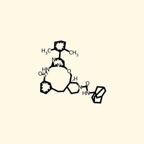 Cc1cccc(C)c1-c1cc2nc(n1)N[S+]([O-])c1cccc(c1)CCC1CCN(C(=O)NC34CC5CC(CC(C5)C3)C4)C[C@@H]1CO2